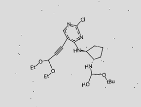 CCOC(C#Cc1cnc(Cl)nc1N[C@H]1CCC[C@@H]1NC(O)OC(C)(C)C)OCC